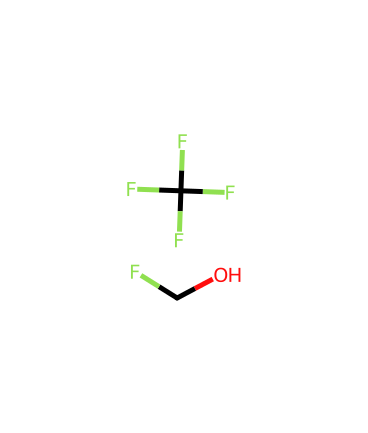 FC(F)(F)F.OCF